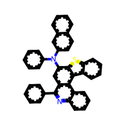 c1ccc(-c2nc3ccccc3c3c2cc(N(c2ccccc2)c2ccc4ccccc4c2)c2sc4ccccc4c23)cc1